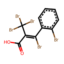 O=C(O)C(=C(Br)c1ccccc1Br)C(Br)(Br)Br